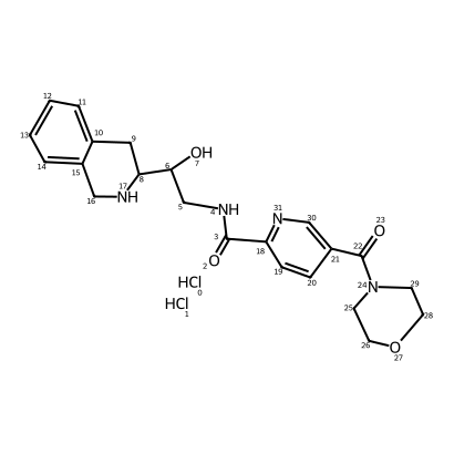 Cl.Cl.O=C(NCC(O)C1Cc2ccccc2CN1)c1ccc(C(=O)N2CCOCC2)cn1